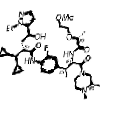 CCn1nccc1C(O)C[C@H](C(=O)Nc1ccc([C@H](C)[C@@H](NC(=O)[C@@H](C)OCCOC)C(=O)N2CCN(C)[C@H](C)C2)cc1F)C(C1CC1)C1CC1